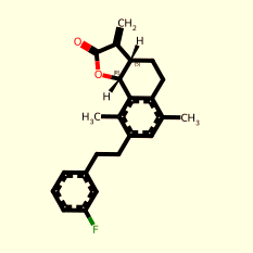 C=C1C(=O)O[C@H]2c3c(C)c(CCc4cccc(F)c4)cc(C)c3CC[C@@H]12